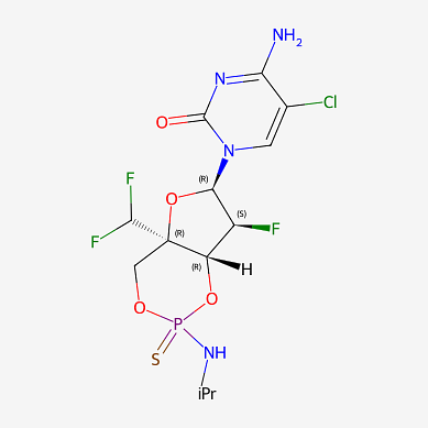 CC(C)NP1(=S)OC[C@@]2(C(F)F)O[C@@H](n3cc(Cl)c(N)nc3=O)[C@@H](F)[C@@H]2O1